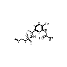 C=CCCS(=O)(=O)NC(C)c1ccc(F)c(OC(O)C(C)C)c1